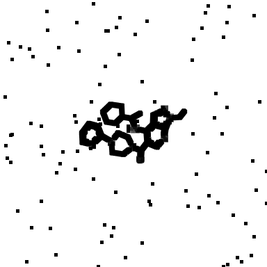 CCn1ncc2c(NC(C)C3CCCCC3)c(C(=O)N3CCN(c4ccccn4)CC3)cnc21